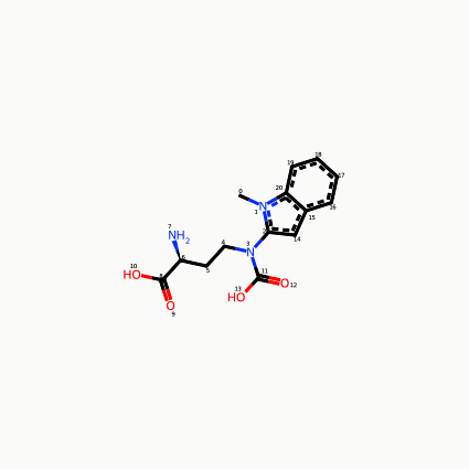 Cn1c(N(CC[C@H](N)C(=O)O)C(=O)O)cc2ccccc21